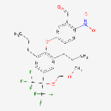 CCCc1cc(C(OCOC)(C(F)(F)F)C(F)(F)F)cc(CCC)c1Oc1ccc([N+](=O)[O-])c(C=O)c1